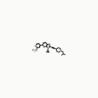 CC(C)CN1CCC(C#Cc2nc3ccc(-c4ccnc(N)c4)nc3n2C2CC2)CC1